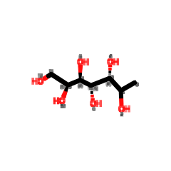 CC(O)[C@@H](O)[C@H](O)[C@H](O)[C@@H](O)CO